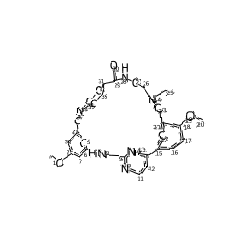 COc1cc2cc(c1)Nc1nccc(n1)-c1ccc(OC)c(c1)CN(C)CCNC(=O)C1CCN(CC1)C2